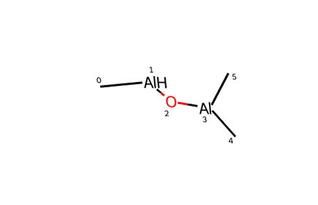 [CH3][AlH][O][Al]([CH3])[CH3]